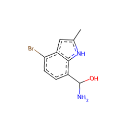 Cc1cc2c(Br)ccc(C(N)O)c2[nH]1